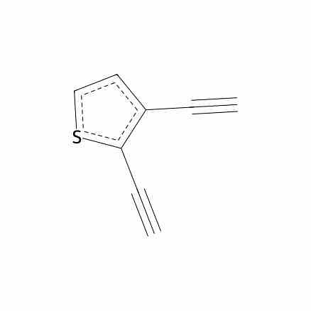 C#Cc1ccsc1C#C